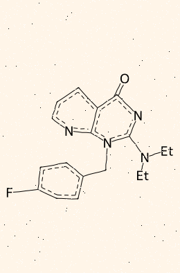 CCN(CC)c1nc(=O)c2cccnc2n1Cc1ccc(F)cc1